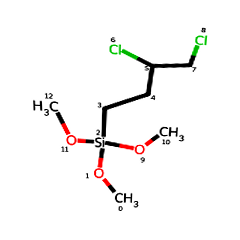 CO[Si](CCC(Cl)CCl)(OC)OC